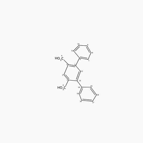 O=C(O)c1cc(C(=O)O)c(-c2ccccc2)cc1-c1ccccc1